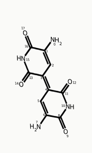 NC1=CC(=C2C=C(N)C(=O)NC2=O)C(=O)NC1=O